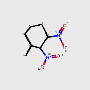 CC1CCCC([N+](=O)[O-])C1[N+](=O)[O-]